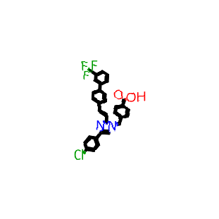 O=C(O)c1ccc(Cn2cc(-c3ccc(Cl)cc3)nc2C=Cc2ccc(-c3cccc(C(F)(F)F)c3)cc2)cc1